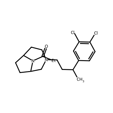 CCC(=O)N1C2CCC1CN(CCC(C)c1ccc(Cl)c(Cl)c1)CC2